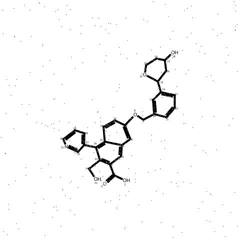 O=C(O)c1cc2cc(OCc3cccc(C4CC(O)CCO4)c3)ccc2c(-c2cccnc2)c1CO